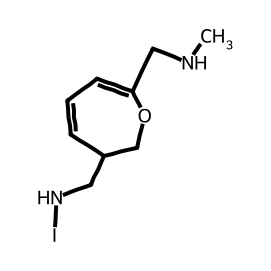 CNCC1=CC=CC(CNI)CO1